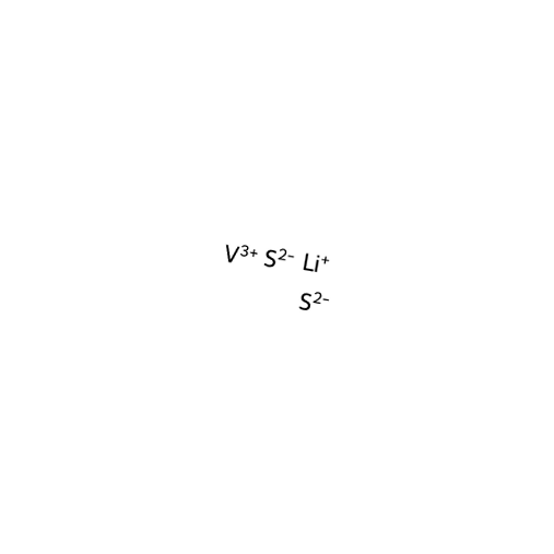 [Li+].[S-2].[S-2].[V+3]